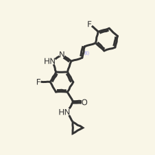 O=C(NC1CC1)c1cc(F)c2[nH]nc(/C=C/c3ccccc3F)c2c1